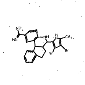 Cc1[nH]c(C2Nc3ccc(C(=N)N)cc3C3c4ccccc4CCC23)c(Br)c1Br